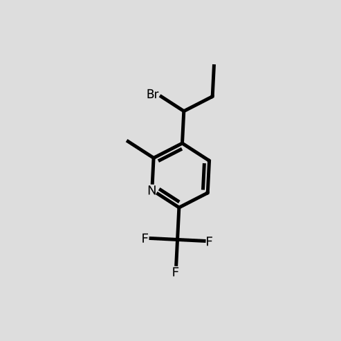 CCC(Br)c1ccc(C(F)(F)F)nc1C